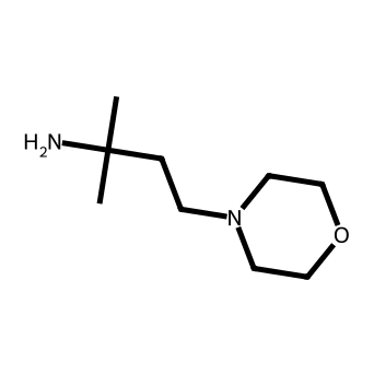 CC(C)(N)CCN1CCOCC1